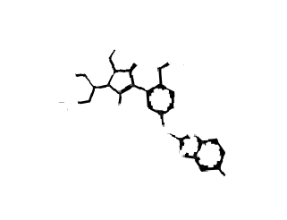 CCc1ccc(Oc2nc3cc(Cl)ccc3s2)cc1C1=C(O)C(C(CC)CC)C(CC)C1=O